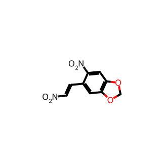 O=[N+]([O-])/C=C/c1cc2c(cc1[N+](=O)[O-])OCO2